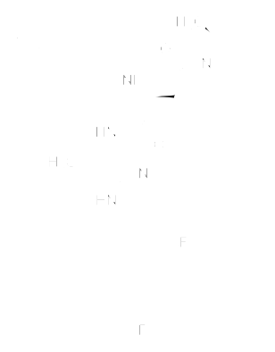 C[C@H](NC(=O)[C@H](CC(=O)N1CCCC[C@@H]1C)NCCCC1CC1)c1ncc(-c2ccc(F)cc2F)[nH]1